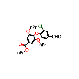 CCCOC(=O)c1cc(OCCC)c(Oc2ccc(C=O)cc2Cl)c(OCCC)c1